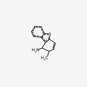 CC1C=Cc2sc3ccccc3c2C1N